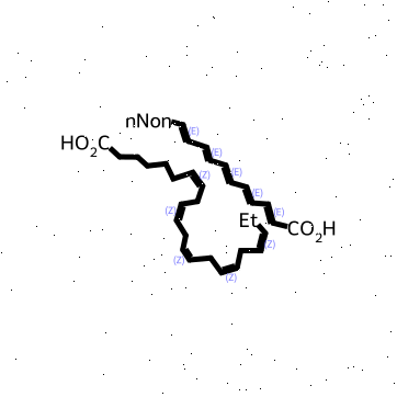 CC/C=C\C/C=C\C/C=C\C/C=C\C/C=C\CCCCCC(=O)O.CCCCCCCCC/C=C/C=C/C=C/C=C/C=C/C(=O)O